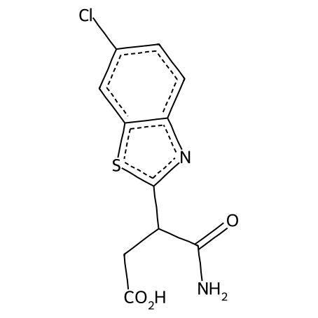 NC(=O)C(CC(=O)O)c1nc2ccc(Cl)cc2s1